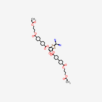 C=CC(=O)OCCCCOC(=O)C1CCC(C2CCC(C(=O)Oc3cc(O)c(OC(=O)C4CCC(C5CCC(C(=O)OCCCCOC(=O)C=C)CC5)CC4)c4c3SC(=C(C#N)C#N)S4)CC2)CC1